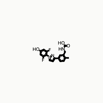 Cc1ccc(-c2ccn(-c3c(F)cc(O)cc3F)n2)cc1CNC(=O)O